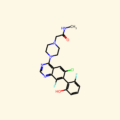 CNC(=O)CN1CCN(c2ncnc3c(F)c(-c4c(O)cccc4F)c(Cl)cc23)CC1